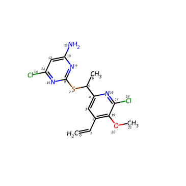 C=Cc1cc(C(C)Sc2nc(N)cc(Cl)n2)nc(Cl)c1OC